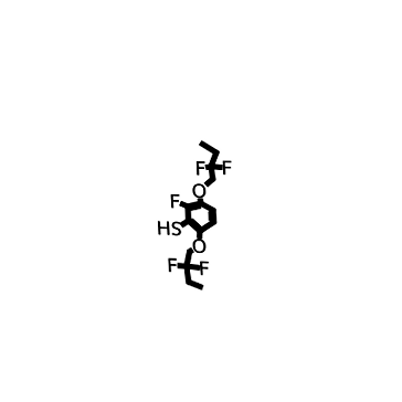 CCC(F)(F)COc1ccc(OCC(F)(F)CC)c(S)c1F